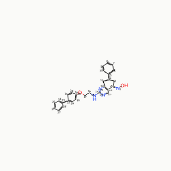 O/N=C1\CC(c2ccccc2)Cc2nc(NCCOc3ccc(-c4ccccc4)cc3)ncc21